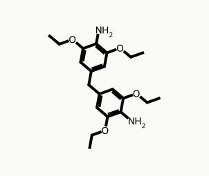 CCOc1cc(Cc2cc(OCC)c(N)c(OCC)c2)cc(OCC)c1N